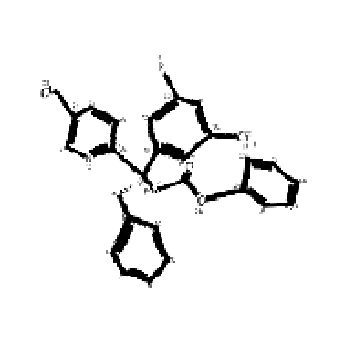 O=C(N[C@](Cc1ccccc1)(c1cc(F)cc(C(F)(F)F)c1)c1ccc(Cl)cn1)Oc1ccccc1